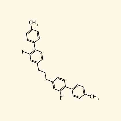 Cc1ccc(-c2ccc(CCCc3ccc(-c4ccc(C)cc4)c(F)c3)cc2F)cc1